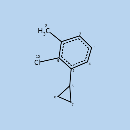 Cc1cccc(C2CC2)c1Cl